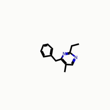 CCc1ncc(C)c(Cc2ccccc2)n1